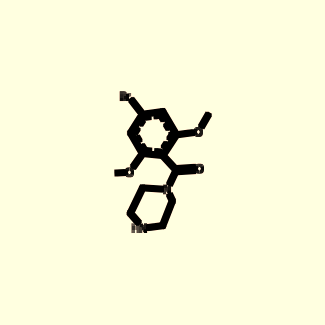 COc1cc(Br)cc(OC)c1C(=O)N1CCNCC1